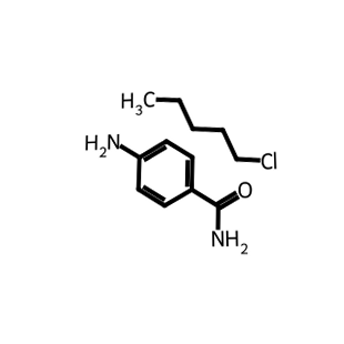 CCCCCCl.NC(=O)c1ccc(N)cc1